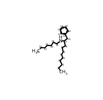 CCCCCCCCCC(Cc1ccccc1)NCCCCCCC